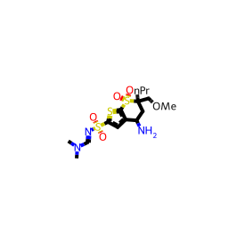 CCCC1(COC)CC(N)c2cc(S(=O)(=O)N=CN(C)C)sc2S1(=O)=O